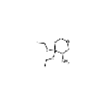 CCOC1(OCC)CCOCC1N